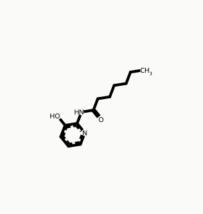 CCCCCCC(=O)Nc1ncccc1O